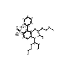 CCCCC(CC)Cc1ccc(P(=O)(O)O)c(-c2ccccc2)c1CC(CC)CCCC